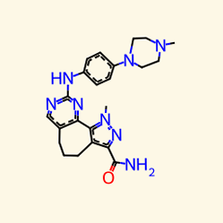 CN1CCN(c2ccc(Nc3ncc4c(n3)-c3c(c(C(N)=O)nn3C)CCC4)cc2)CC1